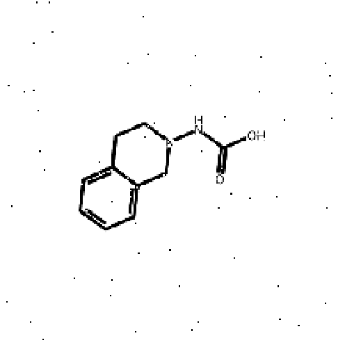 O=C(O)NN1CCc2ccccc2C1